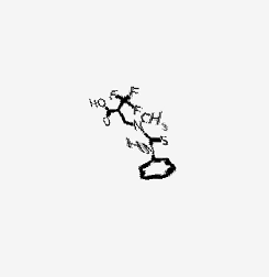 CN(CC(C(=O)O)C(F)(F)F)C(=S)Nc1ccccc1